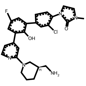 Cn1ccn(-c2ccc(-c3cc(F)cc(-c4ccnc(N5CCC[C@H](CN)C5)c4)c3O)cc2Cl)c1=O